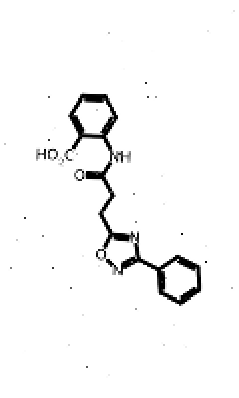 O=C(CCc1nc(-c2ccccc2)no1)Nc1ccccc1C(=O)O